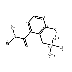 CCN(CC)C(=O)c1cccc(Cl)c1C[Si](C)(C)C